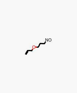 C=CCOCCCN=O